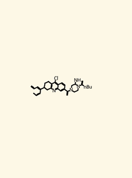 C=C/C=C(\C=C/C)C1CCc2c(nc3cc(C(=C)N4CCN(C(=C)CCCC)C(N)C4)ccc3c2Cl)C1